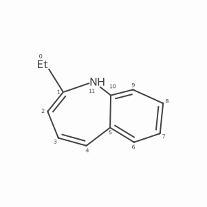 CCC1=CC=Cc2ccccc2N1